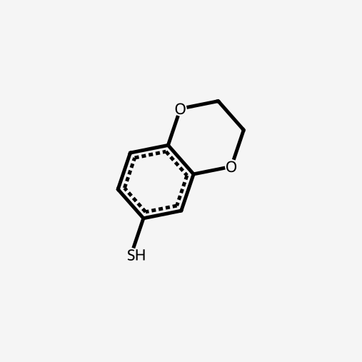 Sc1ccc2c(c1)OCCO2